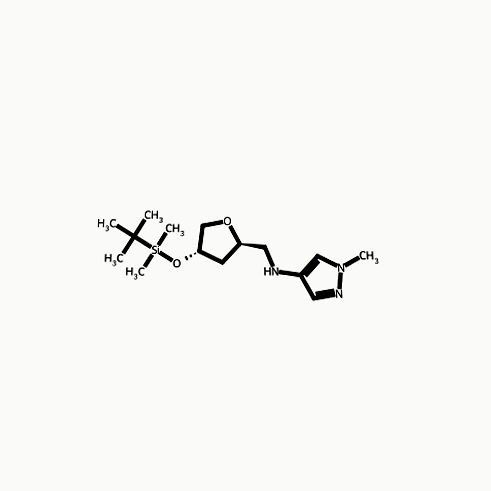 Cn1cc(NC[C@H]2C[C@H](O[Si](C)(C)C(C)(C)C)CO2)cn1